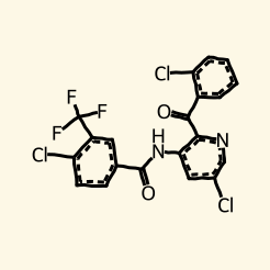 O=C(Nc1cc(Cl)cnc1C(=O)c1ccccc1Cl)c1ccc(Cl)c(C(F)(F)F)c1